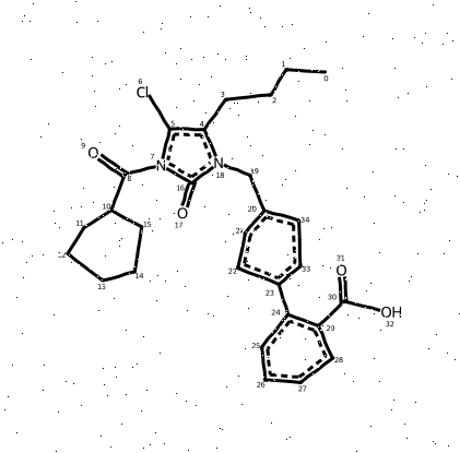 CCCCc1c(Cl)n(C(=O)C2CCCCC2)c(=O)n1Cc1ccc(-c2ccccc2C(=O)O)cc1